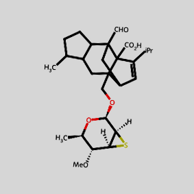 CO[C@H]1[C@@H]2S[C@@H]2[C@H](OCC23CC4C(C)CCC4C4(C=O)CC2C=C(C(C)C)C43C(=O)O)O[C@@H]1C